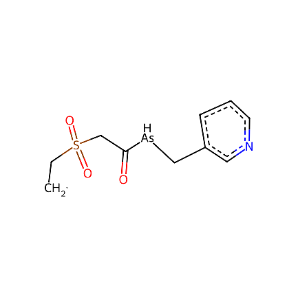 [CH2]CS(=O)(=O)CC(=O)[AsH]Cc1cccnc1